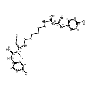 N=C(NCCCCCCNC(=NF)N(F)C(=N)Nc1ccc(Cl)cc1)NC(=N)Nc1ccc(Cl)cc1